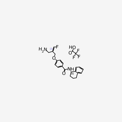 NC/C(=C/F)COc1ccc(C(=O)N[C@H]2CCCc3ccccc32)cc1.O=C(O)C(F)(F)F